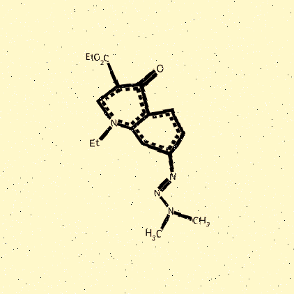 CCOC(=O)c1cn(CC)c2cc(N=NN(C)C)ccc2c1=O